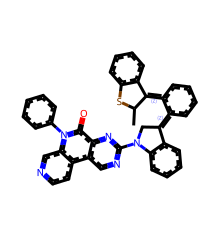 CC1Sc2ccccc2/C1=c1\cccc\c1=C1\CN(c2ncc3c(n2)c(=O)n(-c2ccccc2)c2cnccc32)c2ccccc21